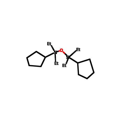 CC[Si](CC)(O[Si](CC)(CC)C1CCCC1)C1CCCC1